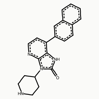 O=c1[nH]c2c(-c3ccc4ccccc4c3)ccnc2n1C1CCNCC1